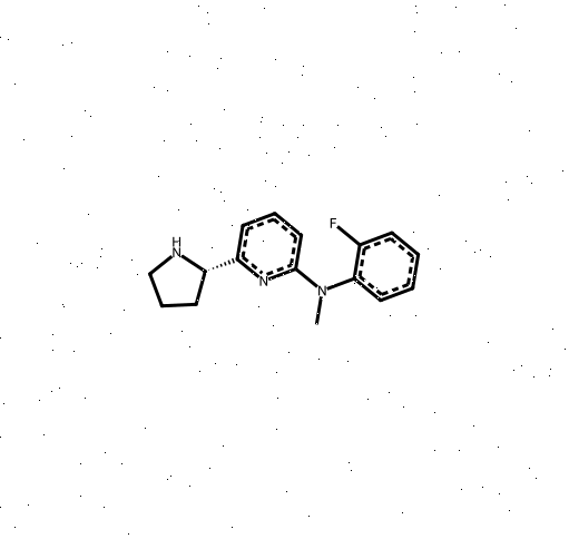 CN(c1cccc([C@@H]2CCCN2)n1)c1ccccc1F